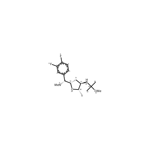 CN[C@H](c1ccc(F)c(F)c1)[C@@H]1C[C@@H](BC(C)(C)OC)[C@H](C)O1